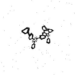 c1ccc(-c2ccc(-c3nc(-c4ccccc4)nc(-c4ccc5c(c4)cc(-c4ccccc4)c4c(-c6ccccc6)nn(-c6ccccc6)c45)n3)cc2)cc1